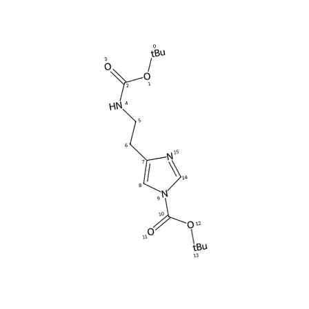 CC(C)(C)OC(=O)NCCc1cn(C(=O)OC(C)(C)C)cn1